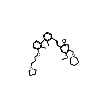 COc1cc(/C=C/c2cccc(-c3cccc(OCCCN4CCCC4)c3C)c2C)c(Cl)cc1CN1CCCCC1